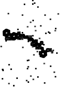 COc1ccccc1-c1ccc2[nH]c(CCNCCc3nc(C(=O)NCc4ncccc4C)co3)nc2c1